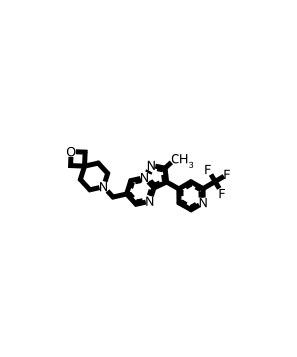 Cc1nn2cc(CN3CCC4(CC3)COC4)cnc2c1-c1ccnc(C(F)(F)F)c1